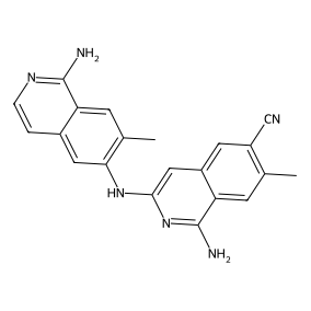 Cc1cc2c(N)nc(Nc3cc4ccnc(N)c4cc3C)cc2cc1C#N